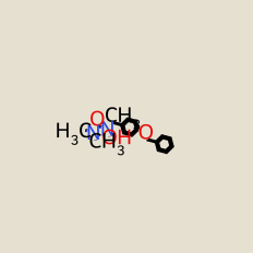 CC(c1ccc(OCc2ccccc2)cc1)N(O)C(=O)N(C)C